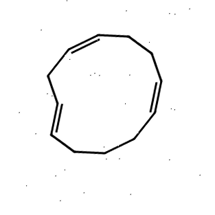 C1=C\CC/C=C\CCC/C=C/C/1